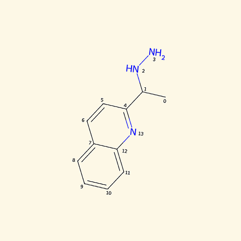 CC(NN)c1ccc2ccccc2n1